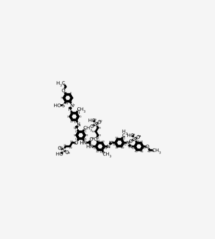 CCOc1ccc(N=Nc2ccc(N=Nc3cc(OCCCS(=O)(=O)O)c(NC(=O)Nc4cc(C)c(N=Nc5ccc(N=Nc6ccc(OCC)cc6S(=O)(=O)O)c(C)c5)cc4OCCCS(=O)(=O)O)cc3C)cc2C)c(SO)c1